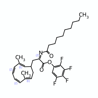 CCCCCCCCCC(=O)/N=C(/CC1/C=C(C)/C=C\C=C/C(C)=C/C1)C(=O)Oc1cc(F)c(F)c(F)c1F